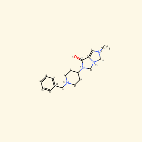 CN1C=C2C(=O)N(C3CCN(Cc4ccccc4)CC3)CN2C1